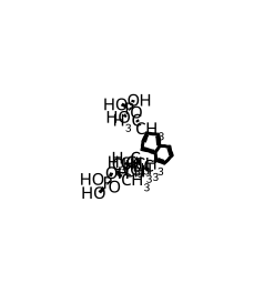 CC.CC.CC.CC.CCC.Cc1cccc2ccccc12.O=P(O)(O)O.O=P(O)(O)O